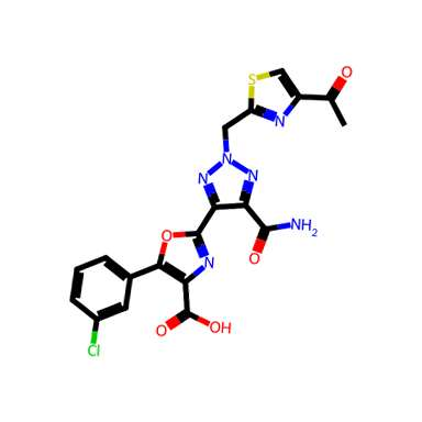 CC(=O)c1csc(Cn2nc(C(N)=O)c(-c3nc(C(=O)O)c(-c4cccc(Cl)c4)o3)n2)n1